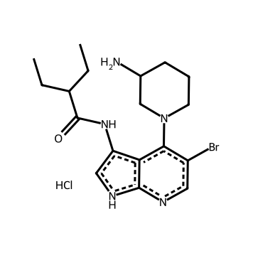 CCC(CC)C(=O)Nc1c[nH]c2ncc(Br)c(N3CCCC(N)C3)c12.Cl